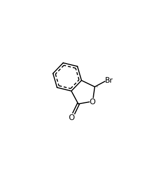 O=C1O[C](Br)c2ccccc21